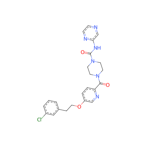 O=C(Nc1cnccn1)N1CCN(C(=O)c2ccc(OCCc3cccc(Cl)c3)cn2)CC1